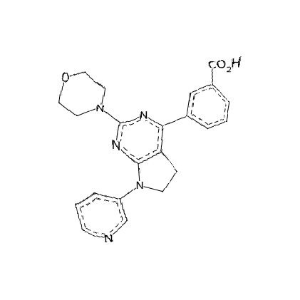 O=C(O)c1cccc(-c2nc(N3CCOCC3)nc3c2CCN3c2cccnc2)c1